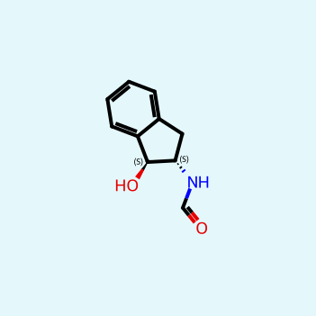 O=CN[C@H]1Cc2ccccc2[C@@H]1O